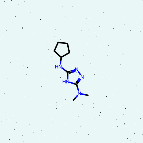 CN(C)c1nnc(NC2CCCC2)[nH]1